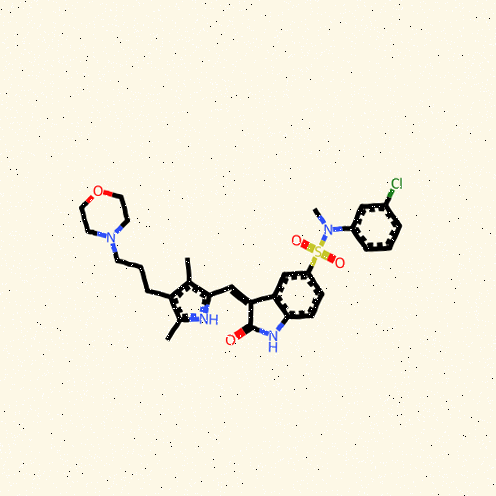 Cc1[nH]c(C=C2C(=O)Nc3ccc(S(=O)(=O)N(C)c4cccc(Cl)c4)cc32)c(C)c1CCCN1CCOCC1